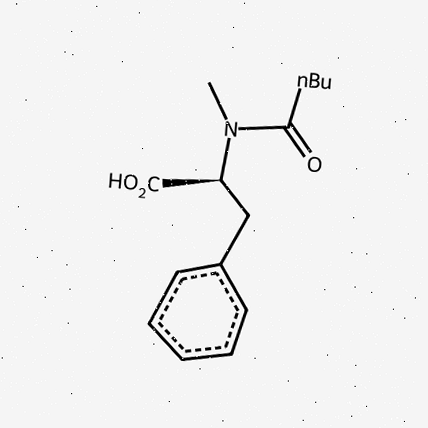 CCCCC(=O)N(C)[C@@H](Cc1ccccc1)C(=O)O